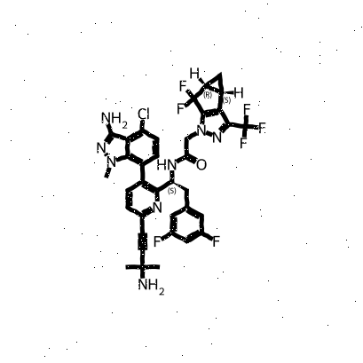 Cn1nc(N)c2c(Cl)ccc(-c3ccc(C#CC(C)(C)N)nc3[C@H](Cc3cc(F)cc(F)c3)NC(=O)Cn3nc(C(F)(F)F)c4c3C(F)(F)[C@@H]3C[C@H]43)c21